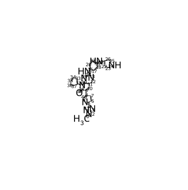 Cn1cnc(-c2ccc(-c3cc4cnc(Nc5ccc(NC6CCNCC6)cc5)nc4n(-c4ccccc4)c3=O)cn2)n1